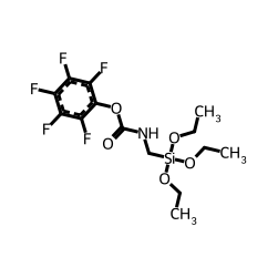 CCO[Si](CNC(=O)Oc1c(F)c(F)c(F)c(F)c1F)(OCC)OCC